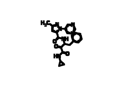 Cc1cc(C(=O)NC(Cc2ccccc2)C(=O)C(=O)NC2CC2)n(-c2cncnc2)n1